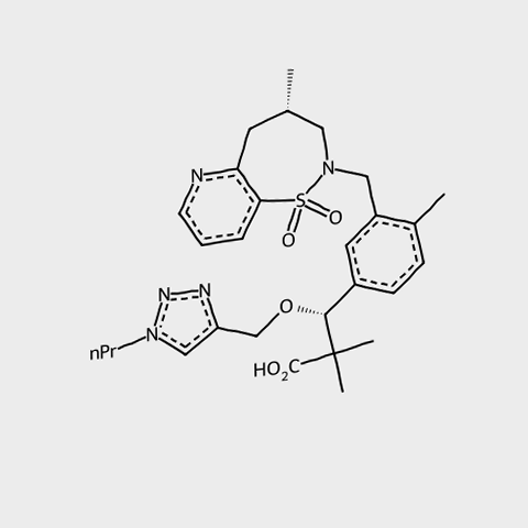 CCCn1cc(CO[C@H](c2ccc(C)c(CN3C[C@@H](C)Cc4ncccc4S3(=O)=O)c2)C(C)(C)C(=O)O)nn1